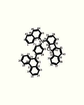 c1ccc2c(N(c3ccc(-c4cc5ccccc5c5ccccc45)cc3)c3cccc4c3oc3c5ccccc5ccc43)cccc2c1